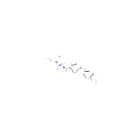 CCOC(=O)/C=N/Nc1ccc(Oc2ccc(Cl)cc2)cc1